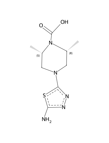 C[C@@H]1CN(c2nnc(N)s2)C[C@H](C)N1C(=O)O